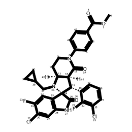 COC(=O)c1ccc(N2CC[C@H]3[C@@H](C2=O)[C@H](c2cccc(Cl)c2F)[C@]2(C(=O)Nc4cc(Cl)c(F)cc42)N3CC2CC2)cc1